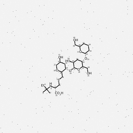 CCC(C)(C)N[C@H](CSCC1OC[C@@H](O)C[C@@H]1O[C@@H]1OC(CO)[C@@H](O[C@H]2CCCC(CO)O2)C[C@@H]1O)C(=O)O